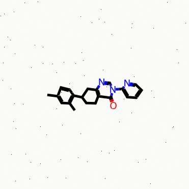 Cc1ccc(C2CCc3c(ncn(-c4ccccn4)c3=O)C2)c(C)c1